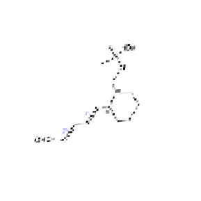 CC(C)(C)[Si](C)(C)OC[C@@H]1CCCC[C@@H]1/C=C/C=C/C=O